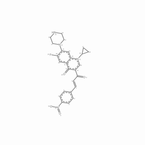 O=C(C=Cc1ccc([N+](=O)[O-])cc1)c1cn(C2CC2)c2cc(N3CCNCC3)c(F)cc2c1=O